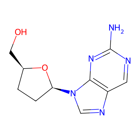 Nc1ncc2ncn([C@H]3CC[C@@H](CO)O3)c2n1